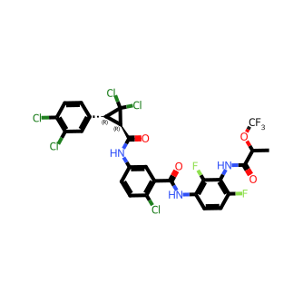 CC(OC(F)(F)F)C(=O)Nc1c(F)ccc(NC(=O)c2cc(NC(=O)[C@H]3[C@H](c4ccc(Cl)c(Cl)c4)C3(Cl)Cl)ccc2Cl)c1F